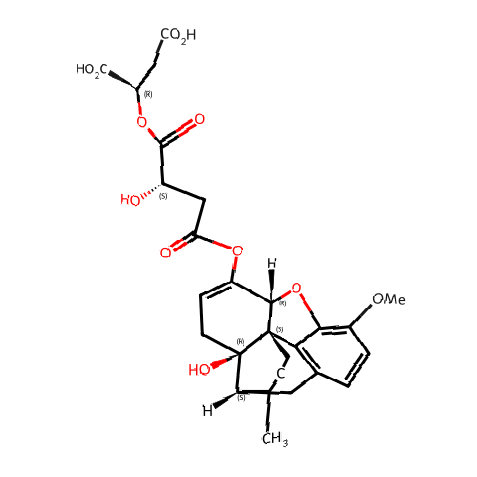 COc1ccc2c3c1O[C@H]1C(OC(=O)C[C@H](O)C(=O)O[C@H](CC(=O)O)C(=O)O)=CC[C@@]4(O)[C@@H](C2)C(C)CC[C@]314